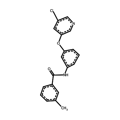 Cc1cccc(C(=O)Nc2cccc(Oc3cncc(Cl)c3)c2)c1